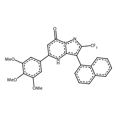 COc1cc(-c2cc(=O)n3nc(C(F)(F)F)c(-c4cccc5ccccc45)c3[nH]2)cc(OC)c1OC